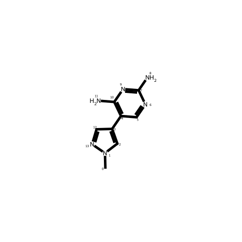 Cn1cc(-c2cnc(N)nc2N)cn1